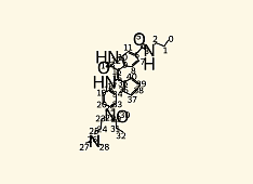 CCCNC(=O)c1ccc2c(c1)NC(=O)/C2=C(\Nc1ccc(N(CCCN(C)C)C(=O)CC)cc1)c1ccccc1